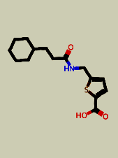 O=C(CCC1CCCCC1)NCc1ccc(C(=O)O)s1